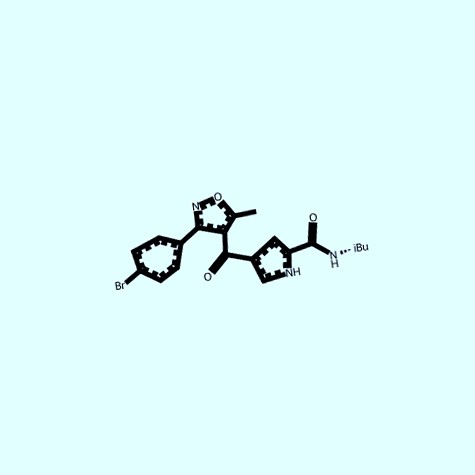 CC[C@@H](C)NC(=O)c1cc(C(=O)c2c(-c3ccc(Br)cc3)noc2C)c[nH]1